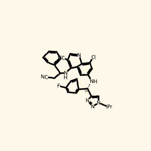 CC(C)n1cc([C@@H](Nc2cc(Cl)c3ncc(C#N)c(NC(CC#N)c4ccccc4)c3c2)c2ccc(F)cc2)nn1